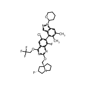 Cc1cc2c(cnn2C2CCCCO2)c(-c2c(Cl)cc3c(OCC(F)(F)F)nc(OC[C@@]45CCCN4C[C@H](F)C5)nc3c2F)c1C